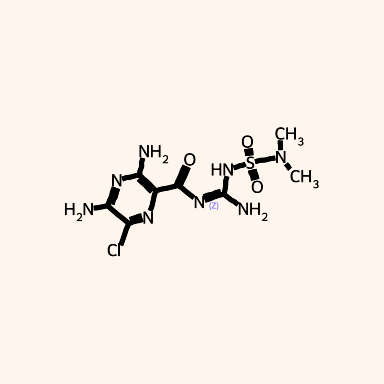 CN(C)S(=O)(=O)N/C(N)=N\C(=O)c1nc(Cl)c(N)nc1N